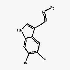 CC/N=C/c1c[nH]c2cc(Br)c(F)cc12